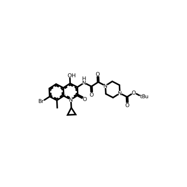 Cc1c(Br)ccc2c(O)c(NC(=O)C(=O)N3CCN(C(=O)OC(C)(C)C)CC3)c(=O)n(C3CC3)c12